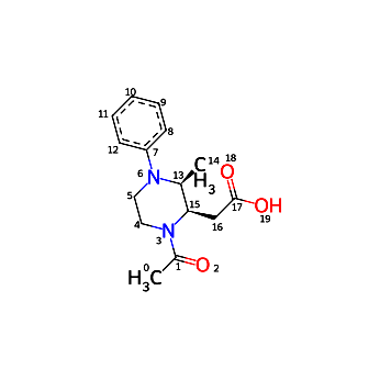 CC(=O)N1CCN(c2ccccc2)[C@@H](C)[C@H]1CC(=O)O